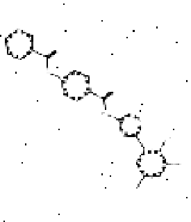 O=C(Nc1ccc(C(=O)Nc2nnc(-c3cc(Cl)cc(Cl)c3O)s2)cc1)c1ccccc1